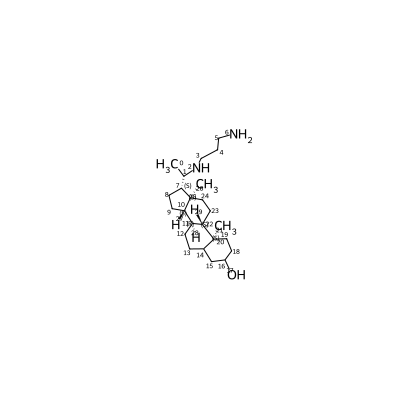 CC(NCCCN)[C@H]1CC[C@H]2[C@@H]3CCC4CC(O)CC[C@]4(C)[C@H]3CC[C@]12C